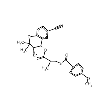 COc1ccc(C(=O)SC[C@@H](C)C(=O)O[C@H]2c3cc(C#N)ccc3OC(C)(C)[C@@H]2Br)cc1